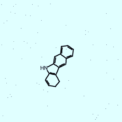 C1=Cc2[nH]c3cc4ccccc4cc3c2CC1